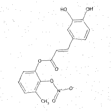 Cc1cccc(OC(=O)C=Cc2ccc(O)c(O)c2)c1O[N+](=O)[O-]